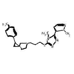 Cn1nccc1-c1nnc(SCCCN2CC[C@]3(CC3c3ccc(C(F)(F)F)cc3)C2)n1C